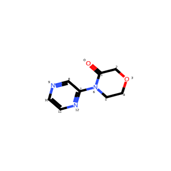 O=C1COCCN1c1cnccn1